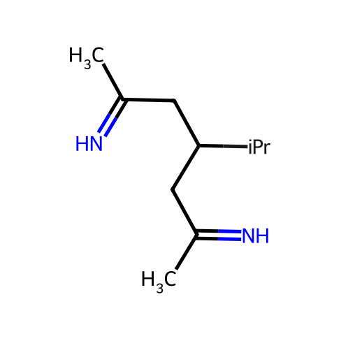 CC(=N)CC(CC(C)=N)C(C)C